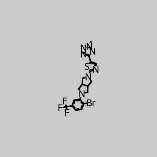 Cn1nnc(-c2cnc(N3CC4CN(c5cc(C(F)(F)F)ccc5Br)CC4C3)s2)n1